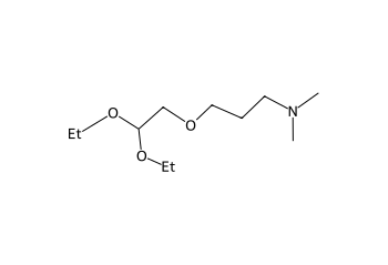 CCOC(COCCCN(C)C)OCC